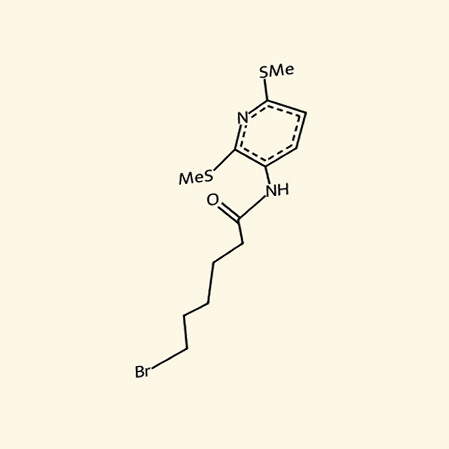 CSc1ccc(NC(=O)CCCCCBr)c(SC)n1